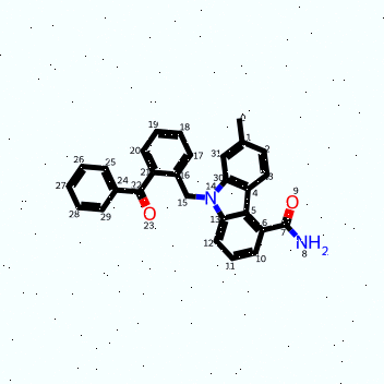 Cc1c[c]c2c3c(C(N)=O)cccc3n(Cc3ccccc3C(=O)c3ccccc3)c2c1